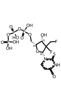 O=c1ccn([C@@H]2O[C@H](COP(=O)(O)OP(=O)(O)OP(=O)(O)O)[C@H](O)C2(F)CF)c(=S)[nH]1